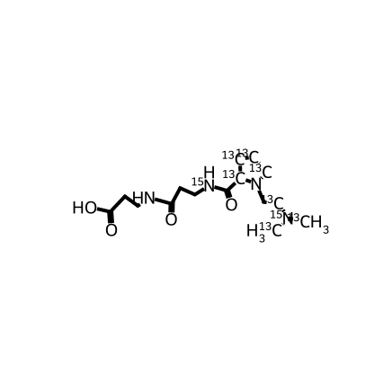 [13CH3][15N]([13CH3])[13CH2]CN1[13CH2][13CH2][13CH2][13CH]1C(=O)[15NH]CCC(=O)NCCC(=O)O